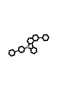 c1ccc(-c2ccc(-n3c4ccccc4c4c5cc(-c6ccccc6)ccc5ccc43)cc2)cc1